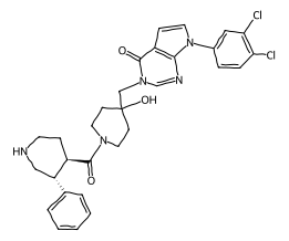 O=C([C@@H]1CCNC[C@H]1c1ccccc1)N1CCC(O)(Cn2cnc3c(ccn3-c3ccc(Cl)c(Cl)c3)c2=O)CC1